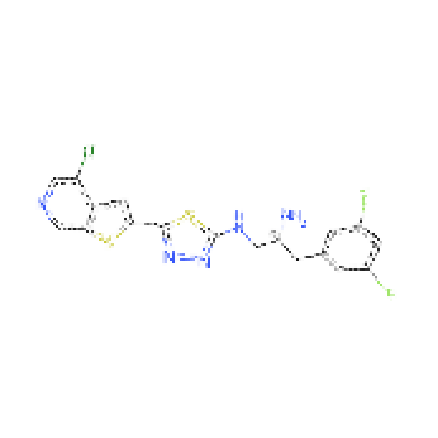 N[C@@H](CNc1nnc(-c2cc3c(Cl)cncc3s2)s1)Cc1cc(F)cc(F)c1